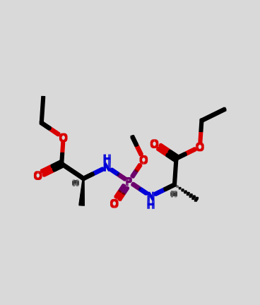 CCOC(=O)[C@H](C)NP(=O)(N[C@@H](C)C(=O)OCC)OC